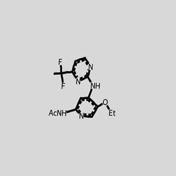 CCOc1cnc(NC(C)=O)cc1Nc1nccc(C(C)(F)F)n1